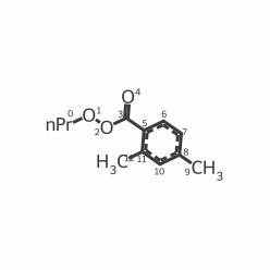 [CH2]CCOOC(=O)c1ccc(C)cc1C